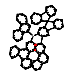 c1ccc2c(c1)-c1ccccc1C21c2ccccc2-c2cc(-c3ccc4c(ccc5ccccc54)c3)c(N(c3ccc4c5ccccc5c5ccccc5c4c3)c3cc4ccccc4c4ccccc34)cc21